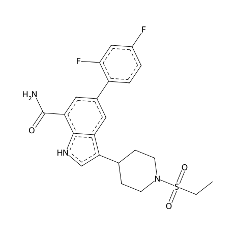 CCS(=O)(=O)N1CCC(c2c[nH]c3c(C(N)=O)cc(-c4ccc(F)cc4F)cc23)CC1